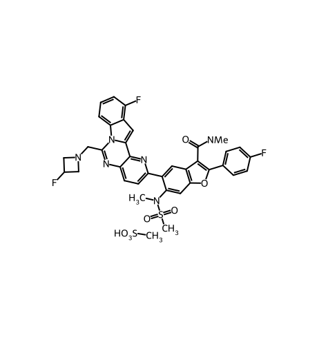 CNC(=O)c1c(-c2ccc(F)cc2)oc2cc(N(C)S(C)(=O)=O)c(-c3ccc4nc(CN5CC(F)C5)n5c6cccc(F)c6cc5c4n3)cc12.CS(=O)(=O)O